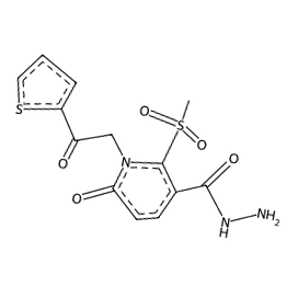 CS(=O)(=O)c1c(C(=O)NN)ccc(=O)n1CC(=O)c1cccs1